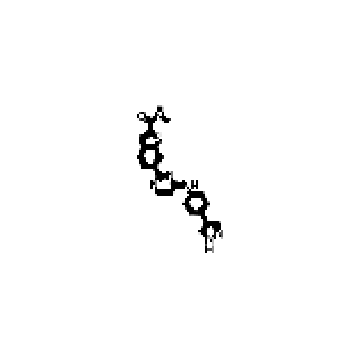 CN(C)C(=O)c1cc2ccc(-c3nccc(Nc4ccc(-c5cn[nH]c5)cc4)n3)cc2s1